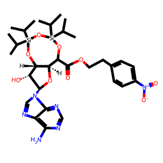 CC(C)[Si]1(C(C)C)OC(C(=O)OCCc2ccc([N+](=O)[O-])cc2)[C@H]2O[C@@H](n3cnc4c(N)ncnc43)[C@H](O)[C@@H]2O[Si](C(C)C)(C(C)C)O1